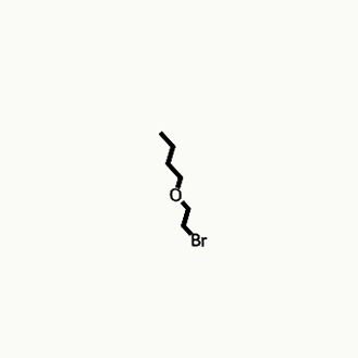 CCCCOCCBr